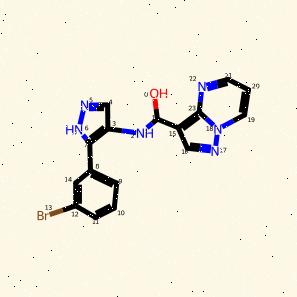 OC(Nc1cn[nH]c1-c1cccc(Br)c1)c1cnn2cccnc12